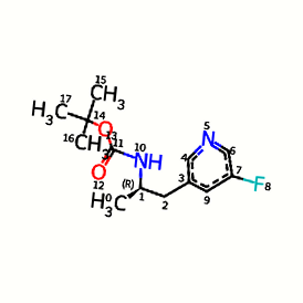 C[C@H](Cc1cncc(F)c1)NC(=O)OC(C)(C)C